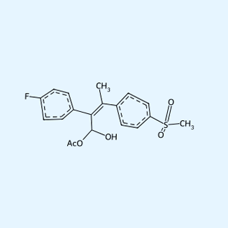 CC(=O)OC(O)/C(=C(/C)c1ccc(S(C)(=O)=O)cc1)c1ccc(F)cc1